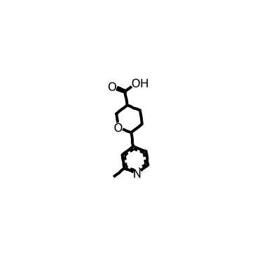 Cc1cc(C2CCC(C(=O)O)CO2)ccn1